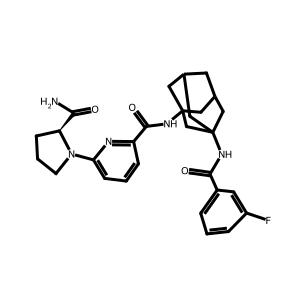 NC(=O)[C@@H]1CCCN1c1cccc(C(=O)NC23CC4CC(CC(NC(=O)c5cccc(F)c5)(C4)C2)C3)n1